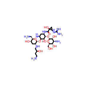 N=C(N)NC1CC1(O)C(=O)N[C@@H]1C[C@H](N)C(O[C@H]2O[C@H](CN)[C@@H](O)C[C@H]2NCC(O)CCN)[C@H](O)[C@H]1O[C@H]1O[C@H](CO)[C@@H](O)[C@H](N)[C@H]1O